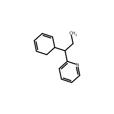 CCC(c1ccccn1)C1C=CC=CC1